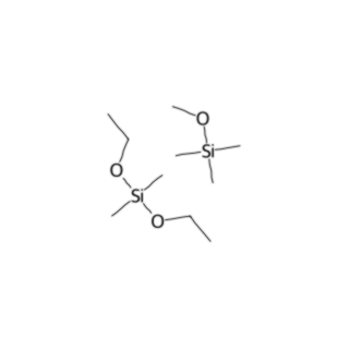 CCO[Si](C)(C)OCC.CO[Si](C)(C)C